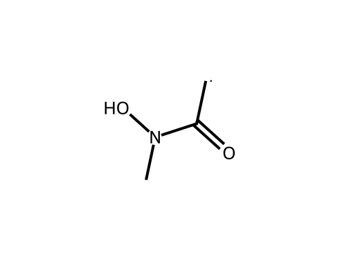 [CH2]C(=O)N(C)O